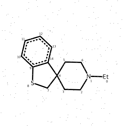 CCN1CCC2(CC1)CSc1ccccc12